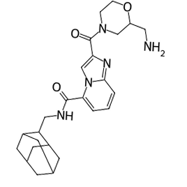 NCC1CN(C(=O)c2cn3c(C(=O)NCC4C5CC6CC(C5)CC4C6)cccc3n2)CCO1